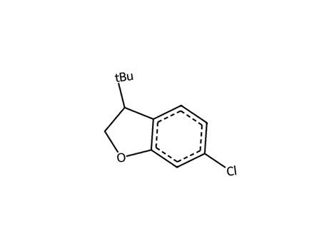 CC(C)(C)C1COc2cc(Cl)ccc21